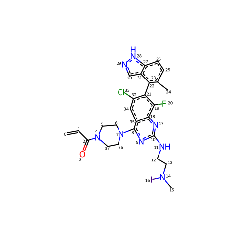 C=CC(=O)N1CCN(c2nc(NCCN(C)I)nc3c(F)c(-c4c(C)ccc5[nH]ncc45)c(Cl)cc23)CC1